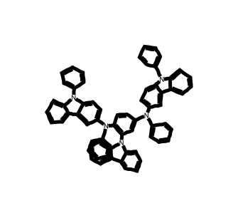 c1ccc(N(c2ccc(N(c3ccccc3)c3ccc4c(c3)c3ccccc3n4-c3ccccc3)c(-n3c4ccccc4c4ccccc43)c2)c2ccc3c(c2)c2ccccc2n3-c2ccccc2)cc1